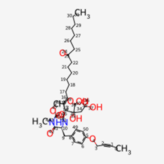 CC#CCOc1ccc(C[C@H](NC(=O)[C@@H](/C=C/CCCCCCC(=O)CCCCCCC)[C@@](O)(CC(=O)O)C(=O)O)C(=O)N(C)C(=O)OC)cc1